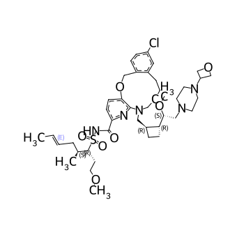 C/C=C/C[C@H](C)[C@@H](CCOC)S(=O)(=O)NC(=O)c1ccc2c(n1)N(C[C@@H]1CC[C@H]1[C@@H](CN1CCN(C3COC3)CC1)OC)CCCCc1cc(Cl)ccc1CO2